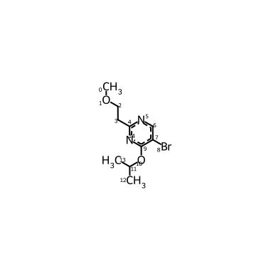 COCCc1ncc(Br)c(OC(C)C)n1